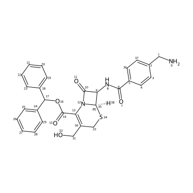 NCc1ccc(C(=O)NC2C(=O)N3C(C(=O)OC(c4ccccc4)c4ccccc4)=C(CO)CS[C@H]23)cc1